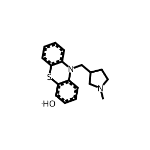 CN1CCC(CN2c3ccccc3Sc3ccccc32)C1.[OH]